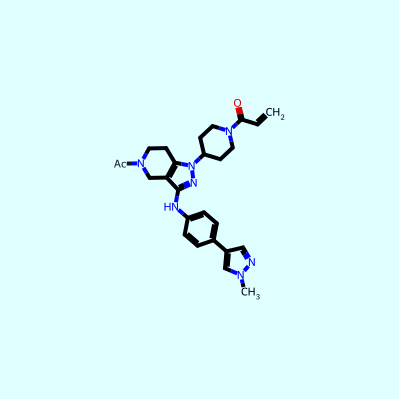 C=CC(=O)N1CCC(n2nc(Nc3ccc(-c4cnn(C)c4)cc3)c3c2CCN(C(C)=O)C3)CC1